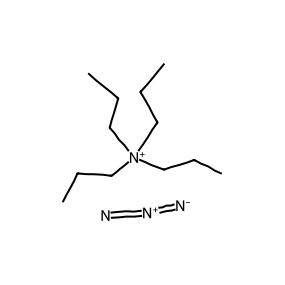 CCC[N+](CCC)(CCC)CCC.[N-]=[N+]=[N-]